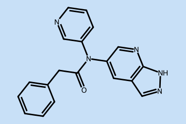 O=C(Cc1ccccc1)N(c1cccnc1)c1cnc2[nH]ncc2c1